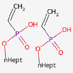 C=CP(=O)(O)OCCCCCCC.C=CP(=O)(O)OCCCCCCC